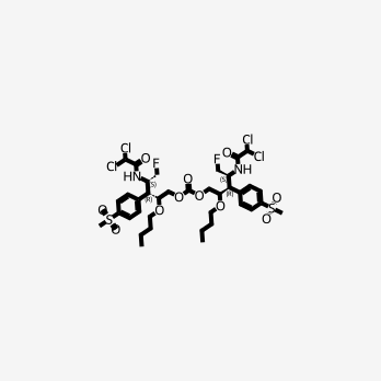 CCCCOC(COC(=O)OCC(OCCCC)[C@H](c1ccc(S(C)(=O)=O)cc1)[C@@H](CF)NC(=O)C(Cl)Cl)[C@H](c1ccc(S(C)(=O)=O)cc1)[C@@H](CF)NC(=O)C(Cl)Cl